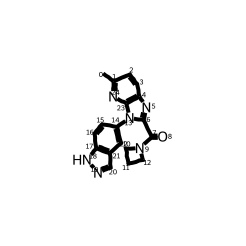 Cc1ccc2nc(C(=O)N3CCC3)n(-c3ccc4[nH]ncc4c3)c2n1